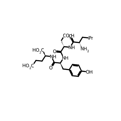 CC(C)C[C@H](N)C(=O)N[C@@H](CC(=O)O)C(=O)N[C@@H](Cc1ccc(O)cc1)C(=O)N[C@@H](CCC(=O)O)C(=O)O